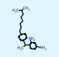 CC(C)CCCCCCc1ccc(C(C)c2ccc(N)cc2N)cc1